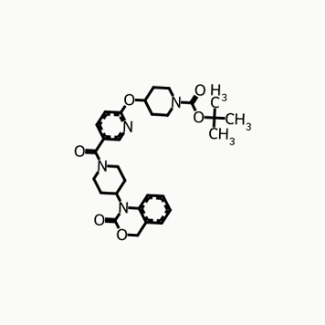 CC(C)(C)OC(=O)N1CCC(Oc2ccc(C(=O)N3CCC(N4C(=O)OCc5ccccc54)CC3)cn2)CC1